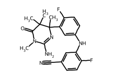 CN1C(=O)C(C)(C)C(C)(c2cc(Nc3cc(C#N)ccc3F)ccc2F)N=C1N